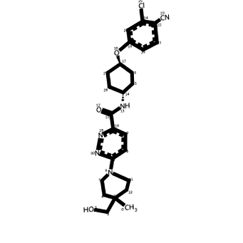 CC1(CO)CCN(c2ccc(C(=O)N[C@H]3CC[C@H](Oc4ccc(C#N)c(Cl)c4)CC3)nn2)CC1